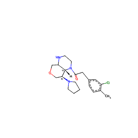 Cc1ccc(CC(=O)N2CCNC3COC[C@H](N4CCCC4)[C@H]32)cc1Cl